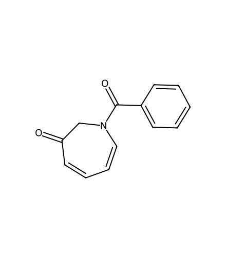 O=C1C=CC=CN(C(=O)c2ccccc2)C1